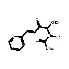 CCN(C(=O)NC)C([C]=O)C(=O)C=Cc1ccccn1